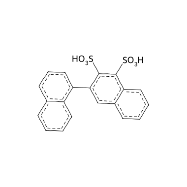 O=S(=O)(O)c1c(-c2cccc3ccccc23)cc2ccccc2c1S(=O)(=O)O